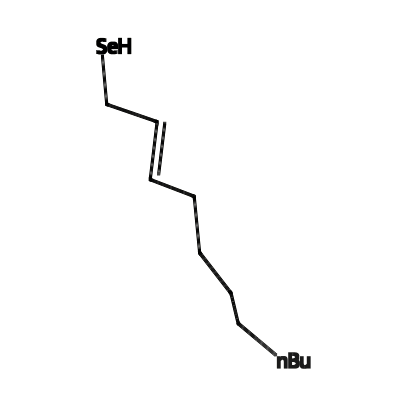 CCCCCCCCC=CC[SeH]